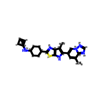 Cc1cc(-c2[nH]c3sc(C4CCC(NC56CC(C5)C6)CC4)nc3c2C(C)C)cn2ncnc12